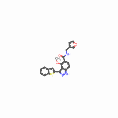 COc1c(C(=O)NCc2ccoc2)ccc2[nH]nc(-c3cc4ccccc4s3)c12